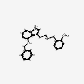 COc1ccccc1CNCCc1c[nH]c2cccc(OCc3ccccc3)c12